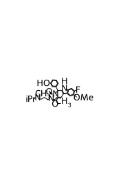 COc1cc2c3c([nH]c2cc1F)C(c1cccc(O)c1)N1C(=O)N(CCCN(C)C(C)C)C(=O)C1(C)C3